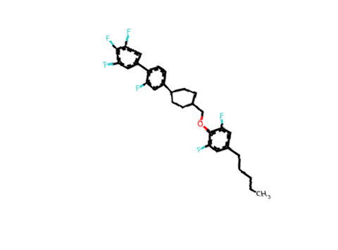 CCCCCc1cc(F)c(OCC2CCC(c3ccc(-c4cc(F)c(F)c(F)c4)c(F)c3)CC2)c(F)c1